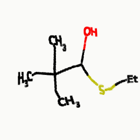 CCSC(O)C(C)(C)C